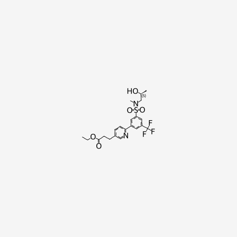 CCOC(=O)CCc1ccc(-c2cc(C(F)(F)F)cc(S(=O)(=O)N(C)C[C@H](C)O)c2)nc1